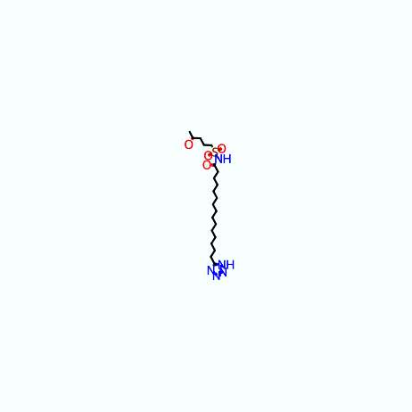 CC(=O)CCCS(=O)(=O)NC(=O)CCCCCCCCCCCCCCc1nnn[nH]1